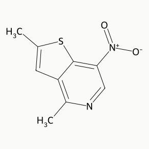 Cc1cc2c(C)ncc([N+](=O)[O-])c2s1